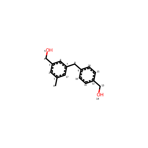 Cc1cc(CO)cc(Cc2ccc(CO)cc2)c1